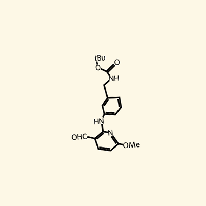 COc1ccc(C=O)c(Nc2cccc(CNC(=O)OC(C)(C)C)c2)n1